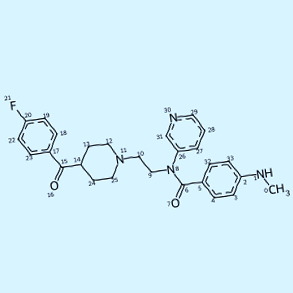 CNc1ccc(C(=O)N(CCN2CCC(C(=O)c3ccc(F)cc3)CC2)c2cccnc2)cc1